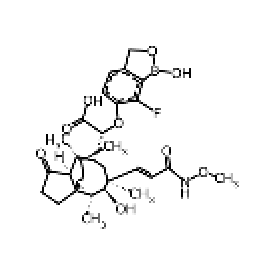 CONC(=O)/C=C/[C@]1(C)C[C@@H](C(Oc2ccc3c(c2F)B(O)OC3)C(=O)O)[C@@]2(C)[C@H](C)CC[C@]3(CCC(=O)[C@H]32)[C@@H](C)[C@@H]1O